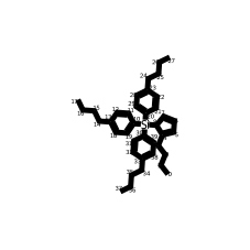 CCCCC1=CC=C[C]1[Si](c1ccc(CCCC)cc1)(c1ccc(CCCC)cc1)c1ccc(CCCC)cc1